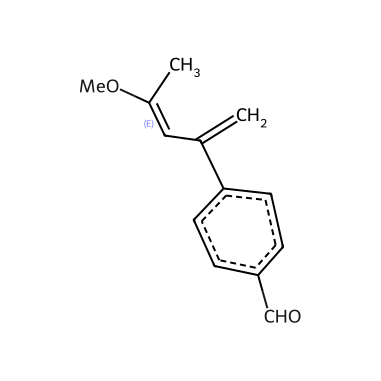 C=C(/C=C(\C)OC)c1ccc(C=O)cc1